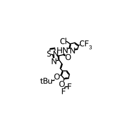 CC(C)(C)COc1c(/C=C/c2nc3sccn3c2C(=O)Nc2ncc(C(F)(F)F)cc2Cl)cccc1OC(F)F